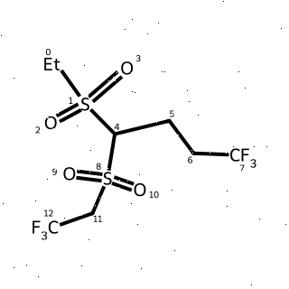 CCS(=O)(=O)C(CCC(F)(F)F)S(=O)(=O)CC(F)(F)F